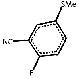 CSc1ccc(F)c(C#N)c1